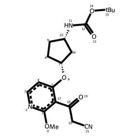 COc1nccc(O[C@@H]2CC[C@H](NC(=O)OC(C)(C)C)C2)c1C(=O)CC#N